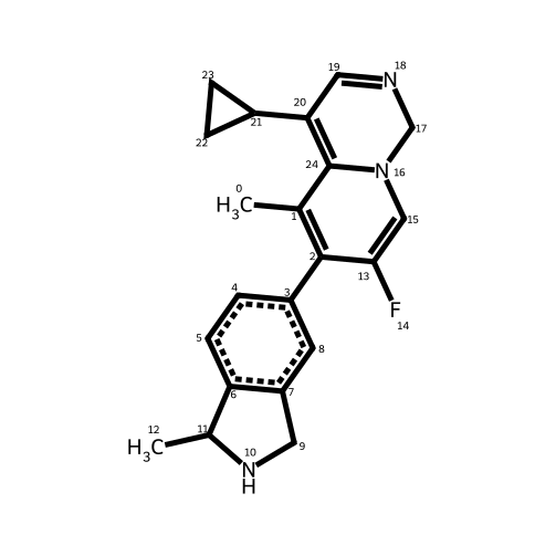 CC1=C(c2ccc3c(c2)CNC3C)C(F)=CN2CN=CC(C3CC3)=C12